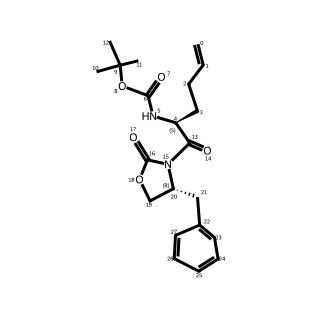 C=CCC[C@H](NC(=O)OC(C)(C)C)C(=O)N1C(=O)OC[C@H]1Cc1ccccc1